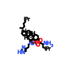 CC(C)CCCC(C)[C@H]1CC[C@H]2[C@@H]3C[C@@H](NCCc4c[nH]cn4)[C@@]4(O)C[C@@H](OC(=O)C(N)CC(C)C)CC[C@]4(C)[C@H]3CC[C@]12C